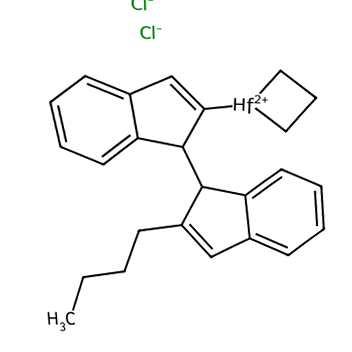 CCCCC1=Cc2ccccc2C1C1[C]([Hf+2]2[CH2]C[CH2]2)=Cc2ccccc21.[Cl-].[Cl-]